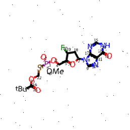 COP(=O)(OCC1OC(n2cnc3c(=O)[nH]cnc32)CC1F)SCOC(=O)C(C)(C)C